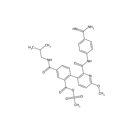 COc1ccc(-c2ccc(C(=O)NCC(C)C)cc2C(=O)OS(C)(=O)=O)c(C(=O)Nc2ccc(C(=N)N)cc2)n1